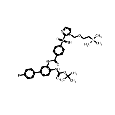 CC(C)(C)OC(=O)Nc1ccc(-c2ccc(F)cc2)cc1NC(=O)c1ccc(S(=N)(=O)c2nccn2COCC[Si](C)(C)C)cc1